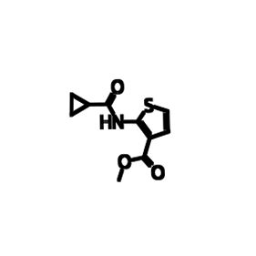 COC(=O)c1ccsc1NC(=O)C1CC1